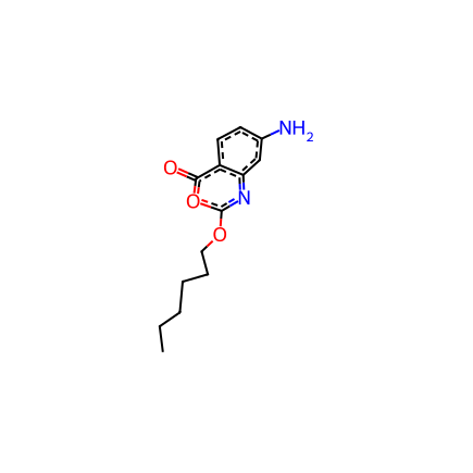 CCCCCCOc1nc2cc(N)ccc2c(=O)o1